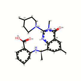 Cc1cc([C@@H](C)Nc2ccccc2C(=O)O)c2nc(N3CCC(C)CC3)n(C)c(=O)c2c1